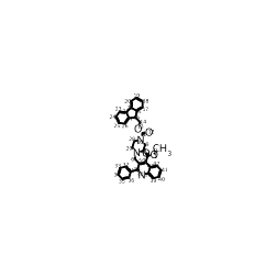 COC(=O)c1c(CN2CCN(C(=O)OCC3c4ccccc4-c4ccccc43)CC2)c(-c2ccccc2)nc2ccccc12